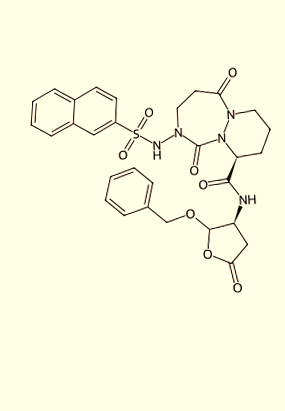 O=C1C[C@H](NC(=O)[C@@H]2CCCN3C(=O)CCN(NS(=O)(=O)c4ccc5ccccc5c4)C(=O)N23)C(OCc2ccccc2)O1